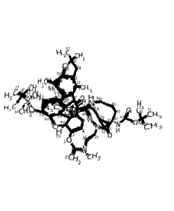 C=C(OC1=CC[C@@]2(O)[C@H]3Cc4ccc(O[Si](C)(C)C(C)(C)C)c5c4[C@@]2(CCN3CC2CC2)[C@H]1O5)N(C)CCN1/N=C(/NS(=O)(=O)c2c(C)c(C)c3c(c2C)CC(C)(C)O3)NCCC[C@H](NC(=O)OC(C)(C)C)C1=O